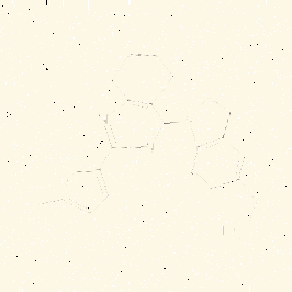 O=C(O)Cc1ccc2c(c1)CCN2c1nc(-c2ccc(Cl)s2)nc2c1CCCC2